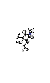 C/C(O)=C(/C(=O)CC(C)C)C(=O)[C@H](CO)CCC(C)C